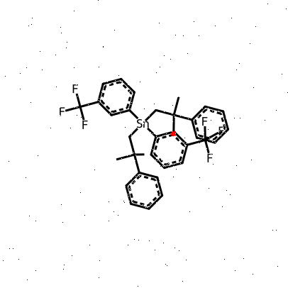 CC(C)([CH2][Sn]([CH2]C(C)(C)c1ccccc1)([c]1cccc(C(F)(F)F)c1)[c]1cccc(C(F)(F)F)c1)c1ccccc1